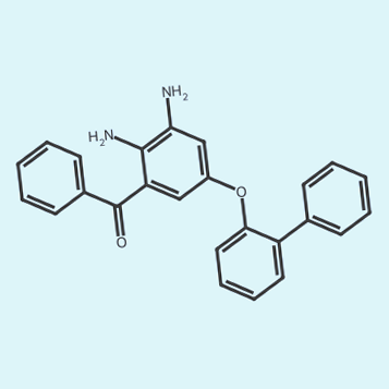 Nc1cc(Oc2ccccc2-c2ccccc2)cc(C(=O)c2ccccc2)c1N